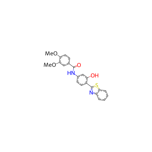 COc1ccc(C(=O)Nc2ccc(-c3nc4ccccc4s3)c(O)c2)cc1OC